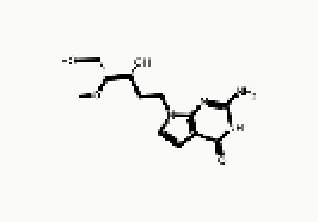 CO[C@H](CO)[C@H](O)CCn1ccc2c(=O)[nH]c(N)nc21